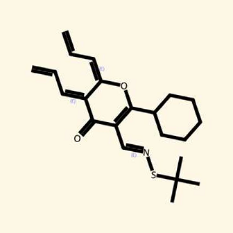 C=C/C=c1/oc(C2CCCCC2)c(/C=N/SC(C)(C)C)c(=O)/c1=C/C=C